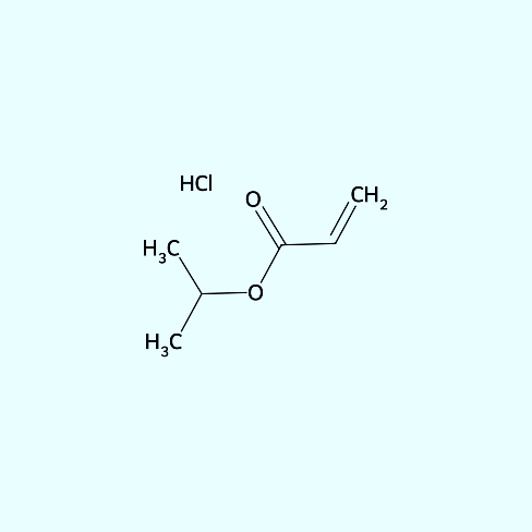 C=CC(=O)OC(C)C.Cl